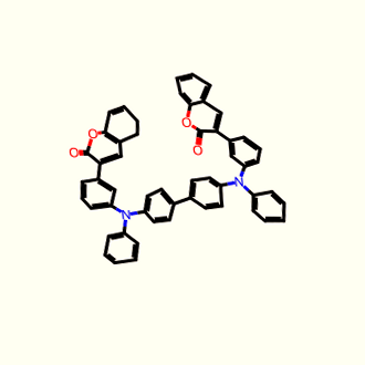 O=c1oc2c(cc1-c1cccc(N(c3ccccc3)c3ccc(-c4ccc(N(c5ccccc5)c5cccc(-c6cc7ccccc7oc6=O)c5)cc4)cc3)c1)CCC=C2